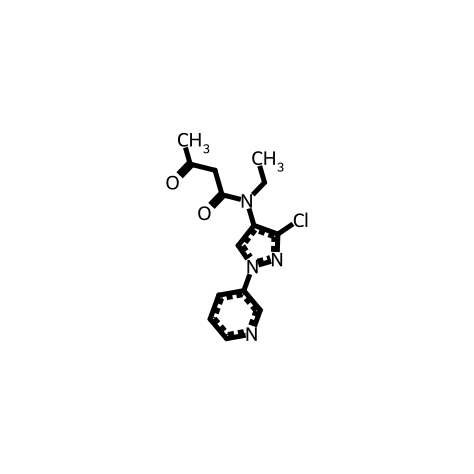 CCN(C(=O)CC(C)=O)c1cn(-c2cccnc2)nc1Cl